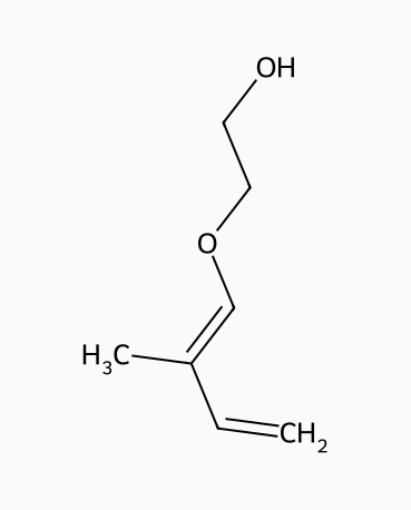 C=CC(C)=COCCO